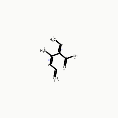 C=C/C=C(N)\C(=C/C)C(=O)O